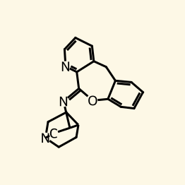 c1ccc2c(c1)Cc1cccnc1C(=NC1CN3CCC1CC3)O2